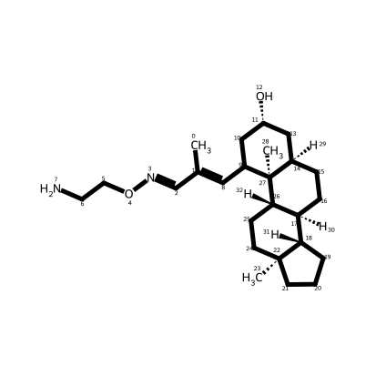 CC(/C=N/OCCN)=C\C1C[C@H](O)C[C@H]2CC[C@H]3[C@@H]4CCC[C@@]4(C)CC[C@@H]3[C@@]12C